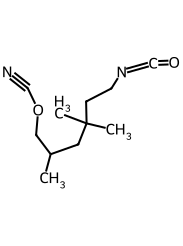 CC(COC#N)CC(C)(C)CCN=C=O